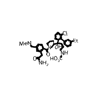 CCc1cccc(-c2c(Cl)cccc2[C@](O)(CCCNC(=O)O)[C@@H]2CCCN(C(=O)c3ccc(CNC)cc3CC(N)=O)C2)c1